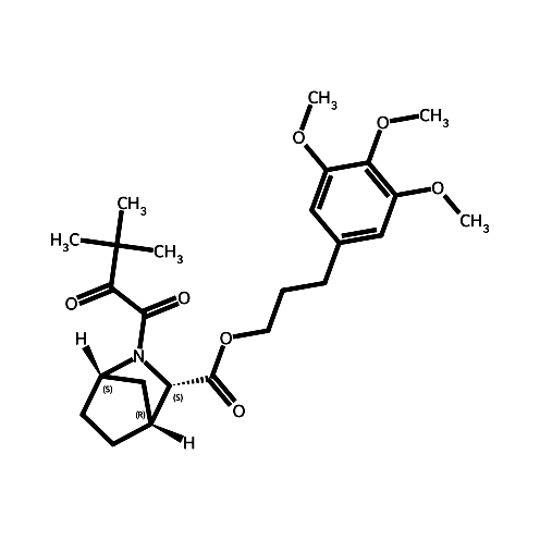 COc1cc(CCCOC(=O)[C@@H]2[C@@H]3CC[C@@H](C3)N2C(=O)C(=O)C(C)(C)C)cc(OC)c1OC